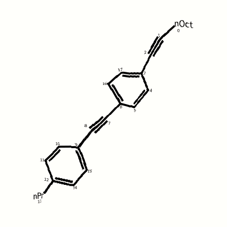 CCCCCCCCC#Cc1ccc(C#Cc2ccc(CCC)cc2)cc1